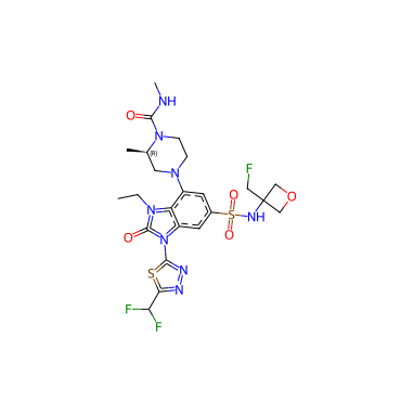 CCn1c(=O)n(-c2nnc(C(F)F)s2)c2cc(S(=O)(=O)NC3(CF)COC3)cc(N3CCN(C(=O)NC)[C@H](C)C3)c21